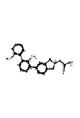 Cc1ccccc1-c1cccc(-c2ccc3c(c2)CN(CC(=O)O)C3)c1C